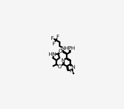 CC(Oc1nc(/C(C=P)=C/NCCC(F)(F)F)cc2nn(C)cc12)C1CNC(=O)C1